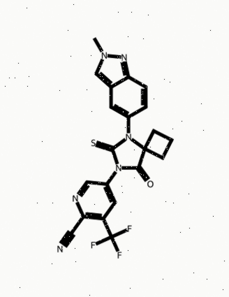 Cn1cc2cc(N3C(=S)N(c4cnc(C#N)c(C(F)(F)F)c4)C(=O)C34CCC4)ccc2n1